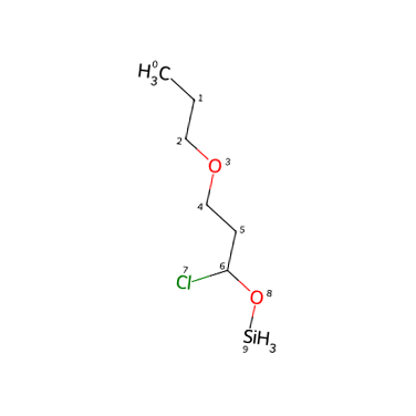 CCCOCCC(Cl)O[SiH3]